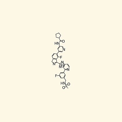 CS(=O)(=O)NCc1cc(F)cc(-c2nccc3[nH]c(C4=NCc5ccc(-c6cncc(NC(=O)C7CCCC7)c6)c(F)c54)nc23)c1